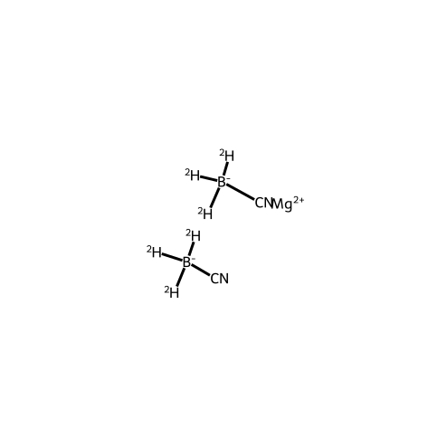 [2H][B-]([2H])([2H])C#N.[2H][B-]([2H])([2H])C#N.[Mg+2]